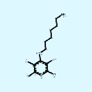 NCCCCCCNc1c(Cl)c(Cl)nc(Cl)c1Cl